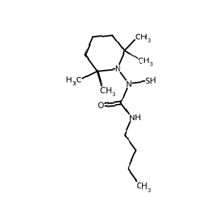 CCCCNC(=O)N(S)N1C(C)(C)CCCC1(C)C